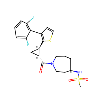 CS(=O)(=O)N[C@@H]1CCCN(C(=O)[C@@H]2C[C@H]2c2sccc2-c2c(F)cccc2F)CC1